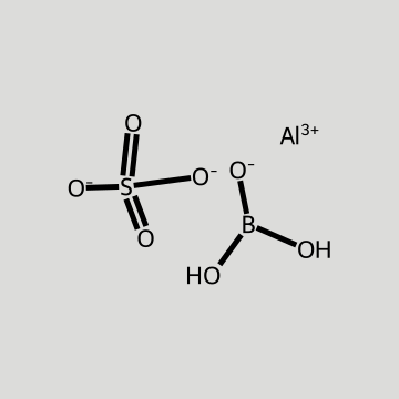 O=S(=O)([O-])[O-].[Al+3].[O-]B(O)O